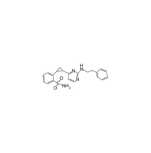 NS(=O)(=O)c1ccccc1C1CC1c1ccnc(NCCc2ccccc2)n1